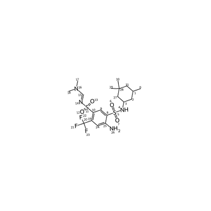 CC1CC(NS(=O)(=O)c2cc(S(=O)(=O)N=CN(C)C)c(C(F)(F)F)cc2N)CC(C)(C)C1